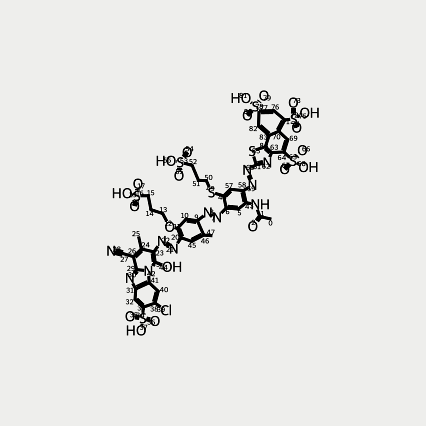 CC(=O)Nc1cc(N=Nc2cc(OCCCS(=O)(=O)O)c(N=Nc3c(C)c(C#N)c4nc5cc(S(=O)(=O)O)c(Cl)cc5n4c3O)cc2C)c(SCCCS(=O)(=O)O)cc1N=Nc1nc2c(S(=O)(=O)O)cc3c(S(=O)(=O)O)cc(S(=O)(=O)O)cc3c2s1